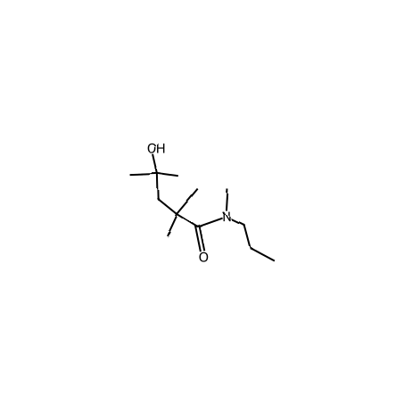 CCCN(C)C(=O)C(C)(C)CC(C)(C)O